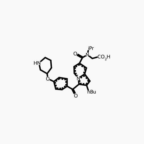 CCCCc1cc2cc(C(=O)N(CC(=O)O)C(C)C)ccn2c1C(=O)c1ccc(OC2CCCNC2)cc1